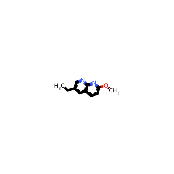 CCc1cnc2nc(OC)ccc2c1